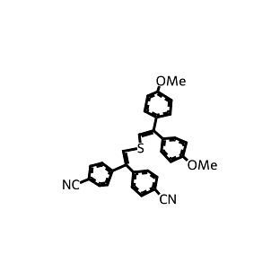 COc1ccc(C(=CSC=C(c2ccc(C#N)cc2)c2ccc(C#N)cc2)c2ccc(OC)cc2)cc1